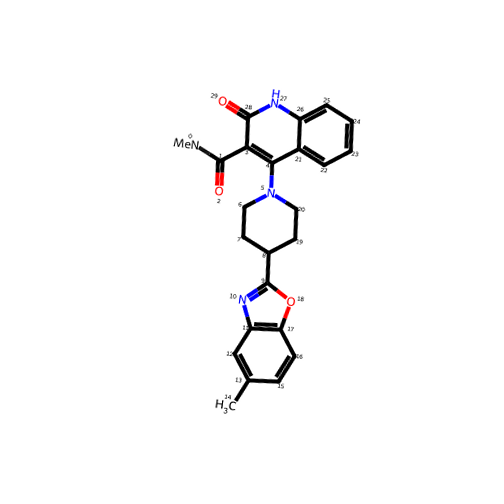 CNC(=O)c1c(N2CCC(c3nc4cc(C)ccc4o3)CC2)c2ccccc2[nH]c1=O